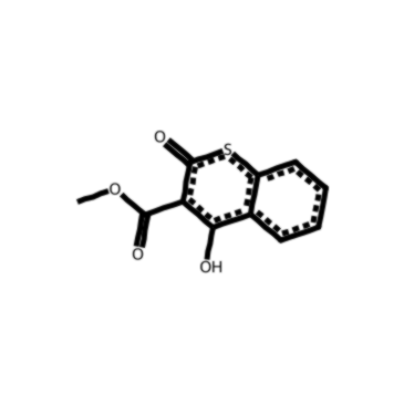 COC(=O)c1c(O)c2ccccc2sc1=O